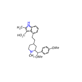 COc1ccc(C(OC)C2CC(CCc3cccc4[nH]c(C)c(C(=O)O)c34)CCN2C)cc1